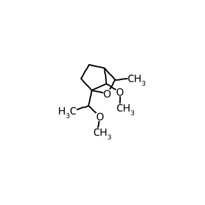 COC(C)C12CCC(C(C)O1)C2OC